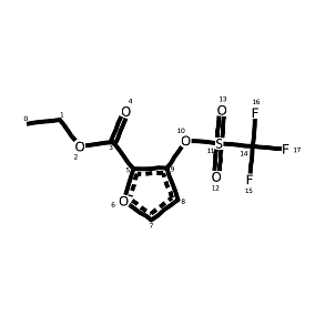 CCOC(=O)c1occc1OS(=O)(=O)C(F)(F)F